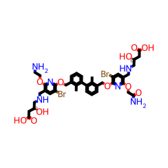 Cc1c(COc2nc(OCCN)c(CNC[C@@H](O)CC(=O)O)cc2Br)cccc1-c1cccc(COc2nc(OCC(N)=O)c(CNC[C@@H](O)CC(=O)O)cc2Br)c1C